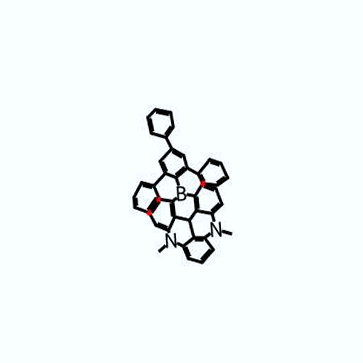 CN1c2cccc3c2C2c4c(cccc4N(C)c4cccc1c42)B3c1c(-c2ccccc2)cc(-c2ccccc2)cc1-c1ccccc1